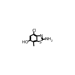 Cc1c(O)cc(Cl)c2nc(N)sc12